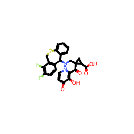 O=C(O)C1CC12CN(C1c3ccccc3SCc3c1ccc(F)c3F)n1ccc(=O)c(O)c1C2=O